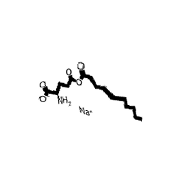 CCCCCCCCCC(=O)OC(=O)CC[C@H](N)C(=O)[O-].[Na+]